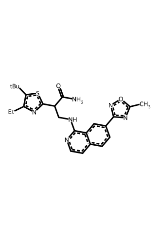 CCc1nc(C(CNc2nccc3ccc(-c4noc(C)n4)cc23)C(N)=O)sc1C(C)(C)C